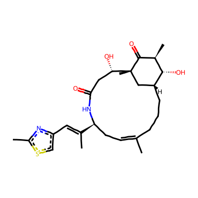 C/C1=C/C[C@@H](/C(C)=C/c2csc(C)n2)NC(=O)C[C@H](O)[C@@]2(C)C[C@@H](CCC1)[C@@H](O)[C@H](C)C2=O